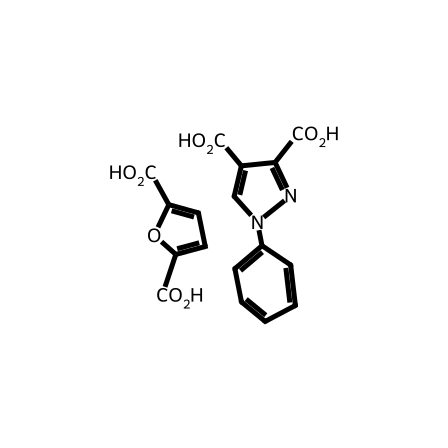 O=C(O)c1ccc(C(=O)O)o1.O=C(O)c1cn(-c2ccccc2)nc1C(=O)O